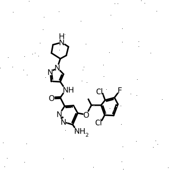 CC(Oc1cc(C(=O)Nc2cnn(C3CCNCC3)c2)nnc1N)c1c(Cl)ccc(F)c1Cl